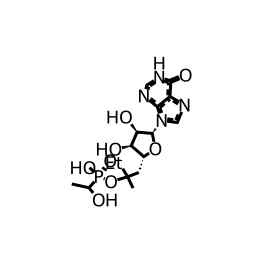 CCC(C)(C[C@H]1O[C@@H](n2cnc3c(=O)[nH]cnc32)[C@H](O)[C@@H]1O)OP(=O)(O)C(C)O